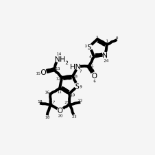 Cc1csc(C(=O)Nc2sc3c(c2C(N)=O)CC(C)(C)OC3(C)C)n1